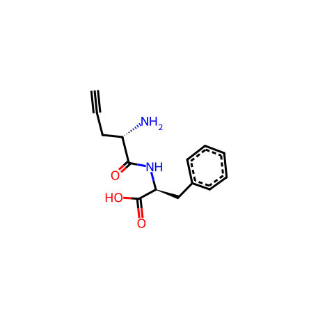 C#CC[C@H](N)C(=O)N[C@@H](Cc1ccccc1)C(=O)O